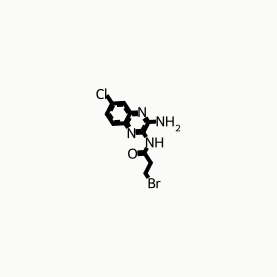 Nc1nc2cc(Cl)ccc2nc1NC(=O)CCBr